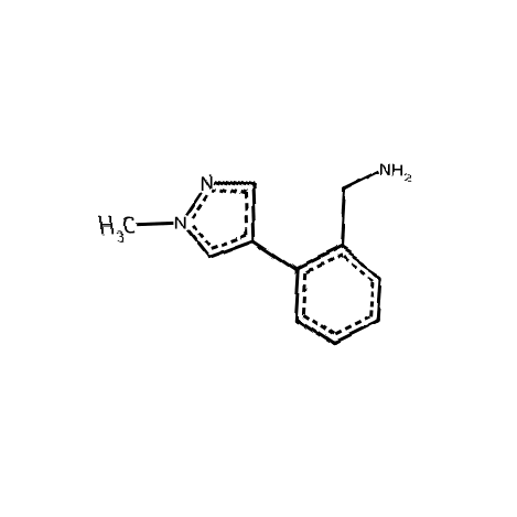 Cn1cc(-c2ccccc2CN)cn1